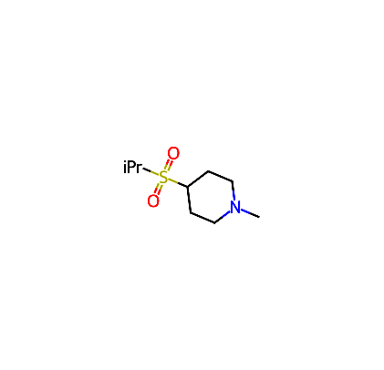 CC(C)S(=O)(=O)C1CCN(C)CC1